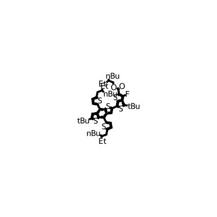 CCCCC(CC)COC(=O)c1sc2c(-c3cc4c(-c5ccc(CC(CC)CCCC)s5)c5sc(C(C)(C)C)cc5c(-c5ccc(CC(CC)CCCC)s5)c4s3)sc(C(C)(C)C)c2c1F